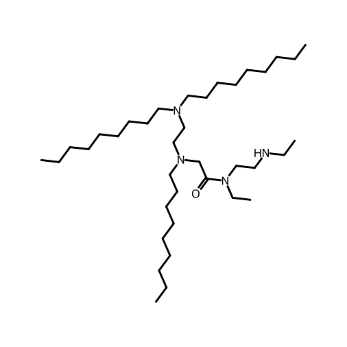 CCCCCCCCCN(CCCCCCCCC)CCN(CCCCCCCCC)CC(=O)N(CC)CCNCC